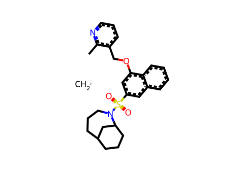 Cc1ncccc1COc1cc(S(=O)(=O)N2CCCC3CCCC2C3)cc2ccccc12.[CH2]